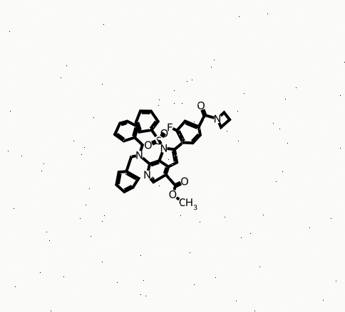 COC(=O)c1cnc(N(Cc2ccccc2)Cc2ccccc2)c2c1cc(-c1ccc(C(=O)N3CCC3)cc1F)n2S(=O)(=O)c1ccccc1